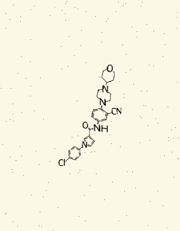 N#Cc1cc(NC(=O)c2ccn(-c3ccc(Cl)cc3)c2)ccc1N1CCN(C2CCOCC2)CC1